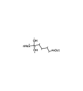 CCCCCCCCCCCCC(O)(O)CCCCCC